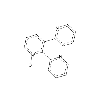 [O-][n+]1cccc(-c2ccccn2)c1-c1ccccn1